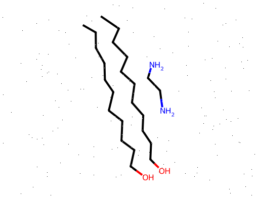 CCCCCCCCCCCO.CCCCCCCCCCCO.NCCN